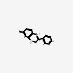 Cc1ccc2c(c1)OCC(c1ccccc1)=N2